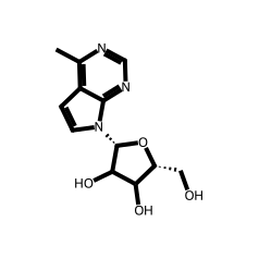 Cc1ncnc2c1ccn2[C@@H]1O[C@H](CO)C(O)C1O